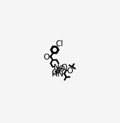 CC(C)[C@@H](NS(=O)(=O)N1CCC(C(=O)c2ccc(Cl)cc2)CC1)C(=O)OC(C)(C)C